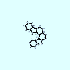 c1ccc2c(c1)oc1ccc3ccc4c5ccccc5sc4c3c12